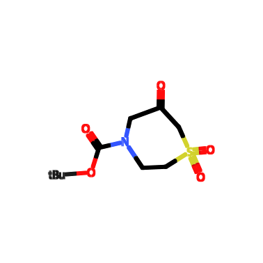 CC(C)(C)OC(=O)N1CCS(=O)(=O)CC(=O)C1